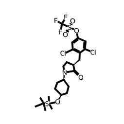 CC(C)(C)[Si](C)(C)O[C@H]1CC[C@@H](N2CC[C@@H](Cc3c(Cl)cc(OS(=O)(=O)C(F)(F)F)cc3Cl)C2=O)CC1